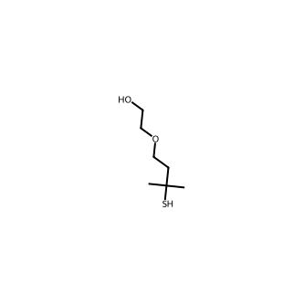 CC(C)(S)CCOCCO